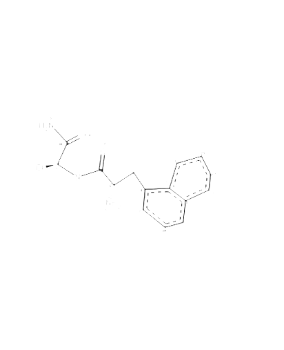 CC[C@H](NC(=O)[C@@H](N)Cc1cccc2ccccc12)C(N)=O